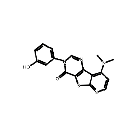 CN(C)c1ccnc2sc3c(=O)n(-c4cccc(O)c4)cnc3c12